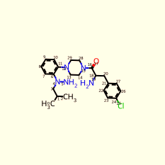 CC(C)CN(N)c1ccccc1N1CCN(C(=O)C(N)Cc2ccc(Cl)cc2)CC1